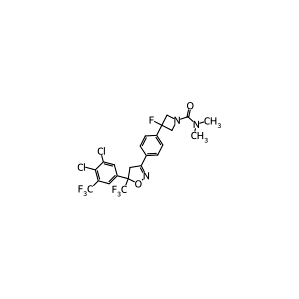 CN(C)C(=O)N1CC(F)(c2ccc(C3=NOC(c4cc(Cl)c(Cl)c(C(F)(F)F)c4)(C(F)(F)F)C3)cc2)C1